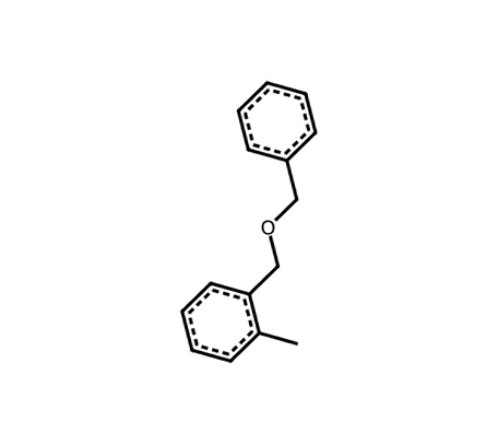 Cc1ccccc1COCc1ccccc1